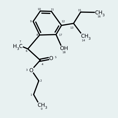 CCCOC(=O)C(C)c1cccc(C(C)CC)c1O